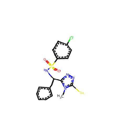 Cn1c(S)nnc1C(NS(=O)(=O)c1ccc(Cl)cc1)c1ccccc1